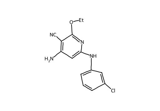 CCOc1nc(Nc2cccc(Cl)c2)cc(N)c1C#N